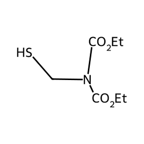 CCOC(=O)N(CS)C(=O)OCC